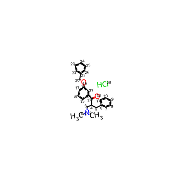 CN(C)CC(Cc1ccccc1)C(=O)c1cccc(OCc2ccccc2)c1.Cl